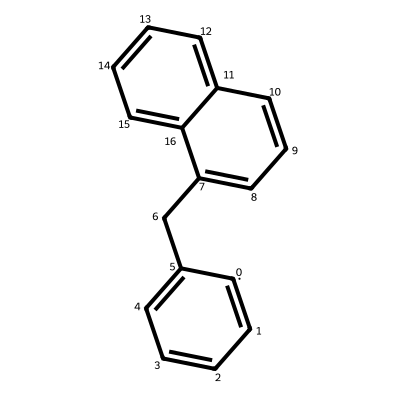 [c]1ccccc1Cc1cccc2ccccc12